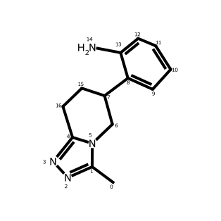 Cc1nnc2n1CC(c1ccccc1N)CC2